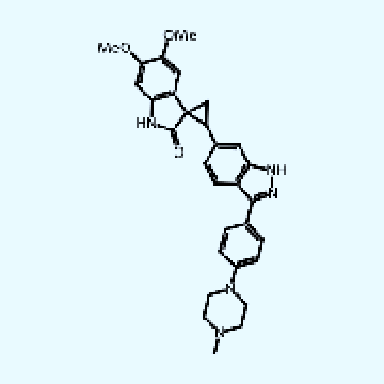 COc1cc2c(cc1OC)C1(CC1c1ccc3c(-c4ccc(N5CCN(C)CC5)cc4)n[nH]c3c1)C(=O)N2